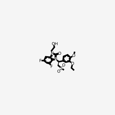 CCOc1cc([C@@H](CS(C)(=O)=O)n2c(=O)n(CCO)c3cc(F)cc(F)c32)ccc1OC